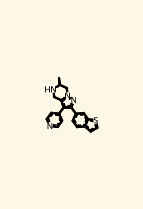 CC1Cn2nc(-c3ccc4ccsc4c3)c(-c3ccncc3)c2CN1